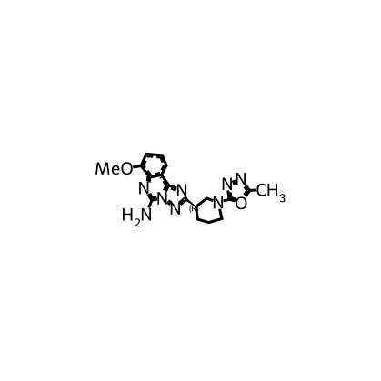 COc1cccc2c1nc(N)n1nc([C@@H]3CCCN(c4nnc(C)o4)C3)nc21